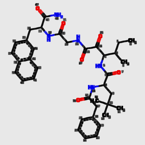 CCC(C)C(NC(=O)C(CC(C)(C)C)NC(=O)Cc1ccccc1)C(=O)C(=O)NCC(=O)NC(Cc1ccc2ccccc2c1)C(N)=O